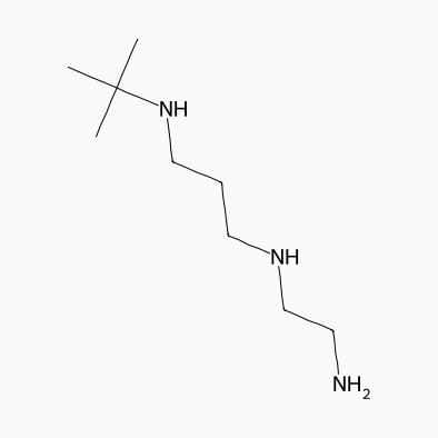 CC(C)(C)NCCCNCCN